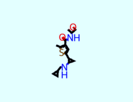 Cc1sc(C2CC2NCC2CC2)cc1C(=O)NC1COC1